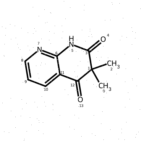 CC1(C)C(=O)Nc2ncccc2C1=O